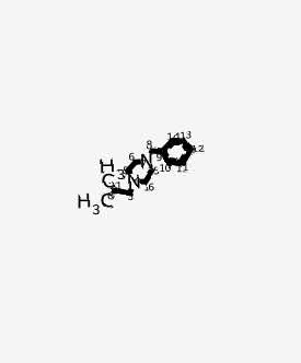 CC(C)CN1CCN(Cc2ccccc2)CC1